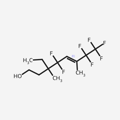 CCC(C)(CCO)C(F)(F)/C=C(\C)C(F)(F)C(F)(F)F